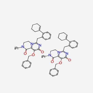 CC(C)N1CCn2c(Cc3ccccc3C3=CCCCC3)nc(=O)c(OCc3ccccc3)c2C1=O.CC(C)N1CCn2c(Cc3ccccc3C3=CCCCC3)nc(=O)c(OCc3ccccc3)c2C1=O